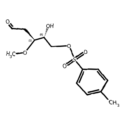 CO[C@@H](CC=O)[C@H](O)COS(=O)(=O)c1ccc(C)cc1